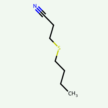 CCCCSCCC#N